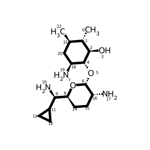 C[C@@H]1[C@@H](O)[C@H](O[C@H]2O[C@H]([C@H](N)C3CC3)CC[C@H]2N)[C@@H](N)C[C@H]1C